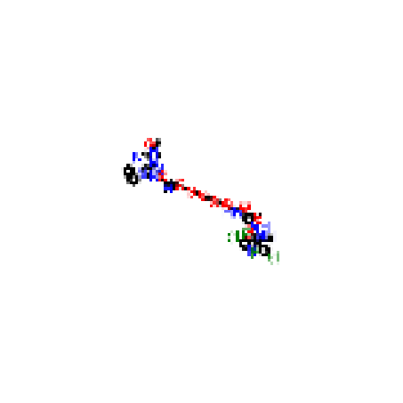 C=CC(=O)N1CCN(c2nc(OC[C@@H]3C[C@@H](OCCOCCOCCOCCOCCNC(=O)c4ccc(NC(=O)[C@@H]5N[C@@H](CC(C)(C)C)[C@](C#N)(c6ccc(Cl)cc6F)[C@H]5c5cccc(Cl)c5F)c(OC)c4)CN3C)nc3c2CCN(c2cccc4ccccc24)C3)C[C@@H]1CC#N